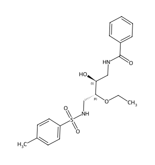 CCO[C@H](CNS(=O)(=O)c1ccc(C)cc1)[C@@H](O)CNC(=O)c1ccccc1